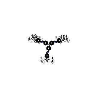 CC(C)[Si](c1ccc(/C=C/c2ccc(N(c3ccc(/C=C/c4ccc([Si](C(C)C)(C(C)C)C(C)C)cc4)cc3)c3ccc(/C=C/c4ccc([Si](C(C)C)(C(C)C)C(C)C)cc4)cc3)cc2)cc1)(C(C)C)C(C)C